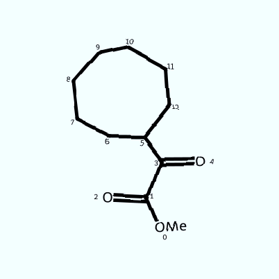 COC(=O)C(=O)C1CCCCCCC1